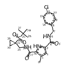 Cc1cc(C(=O)NCc2ccc(Cl)cc2)[nH]c1C(=O)NCC1(S(=O)(=O)C(C)(C)C)CC1